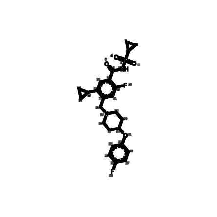 O=C(NS(=O)(=O)C1CC1)c1cc(C2CC2)c(CN2CCC(Oc3ccc(F)cc3)CC2)cc1F